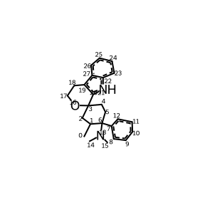 CC1CC2(CCC1(c1ccccc1)N(C)C)OCCc1c2[nH]c2ccccc12